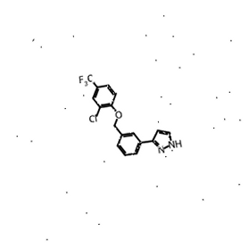 FC(F)(F)c1ccc(OCc2cccc(-c3cc[nH]n3)c2)c(Cl)c1